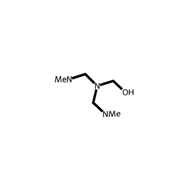 CNCN(CO)CNC